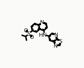 CC(C)S(=O)(=O)c1ccc2nccc(Nc3cnc4scnc4c3)c2c1